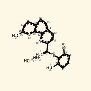 C=[C]([Fe][c]1c(C)cccc1Br)c1ccc2ccc3ccc(C)nc3c2n1.Cl.N